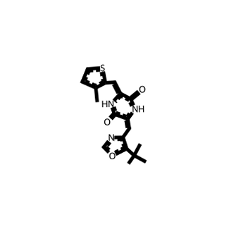 Cc1ccsc1C=c1[nH]c(=O)c(=Cc2ncoc2C(C)(C)C)[nH]c1=O